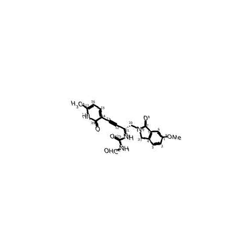 COc1ccc2c(c1)C(=O)N(C[C@@H](C#Cc1ccc(C)[nH]c1=O)NC(=O)NC=O)C2